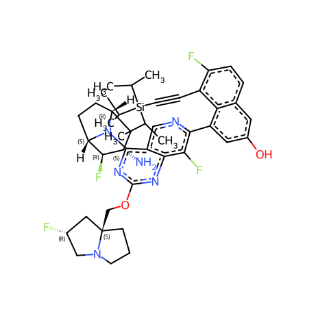 CC(C)[Si](C#Cc1c(F)ccc2cc(O)cc(-c3ncc4c(N5[C@@H]6CC[C@H]5[C@H](F)[C@@H](N)C6)nc(OC[C@@]56CCCN5C[C@H](F)C6)nc4c3F)c12)(C(C)C)C(C)C